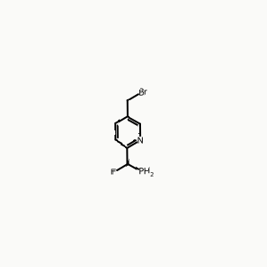 FC(P)c1ccc(CBr)cn1